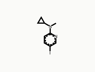 CN(c1ccc(I)cn1)C1CC1